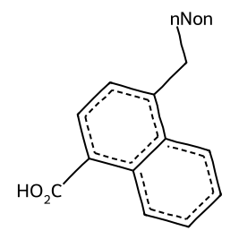 CCCCCCCCCCc1ccc(C(=O)O)c2ccccc12